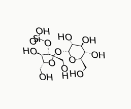 O=[Si](O)O[C@H]1[C@H](O)[C@@H](CO)O[C@@]1(CO)O[C@H]1O[C@H](CO)[C@@H](O)[C@H](O)[C@H]1O